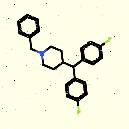 Fc1ccc(C(c2ccc(F)cc2)C2CCN(Cc3ccccc3)CC2)cc1